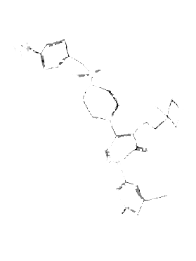 CC1(COc2c(N3CCN(S(=O)(=O)Cc4ccc(N)cc4)CC3)cnn(-c3cc(F)cc(F)c3)c2=O)COC1